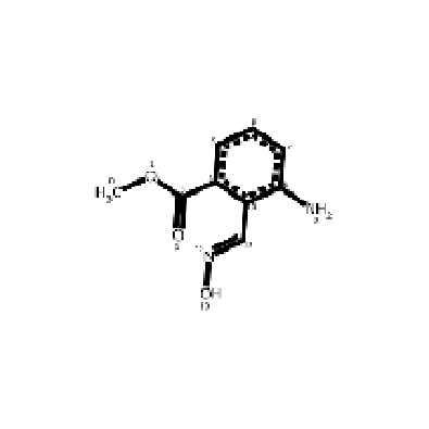 COC(=O)c1cccc(N)c1C=NO